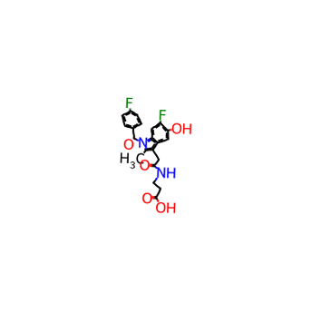 Cc1c(CC(=O)NCCC(=O)O)c2cc(O)c(F)cc2n1C(=O)c1ccc(F)cc1